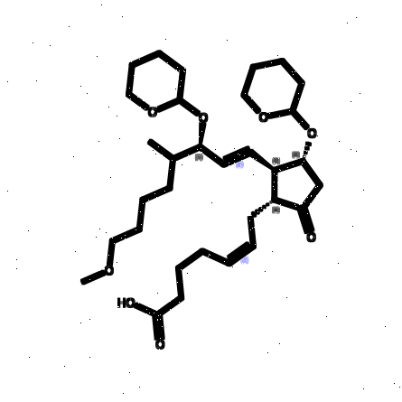 COCCCCC(C)[C@H](/C=C/[C@H]1[C@H](OC2CCCCO2)CC(=O)[C@@H]1C/C=C\CCCC(=O)O)OC1CCCCO1